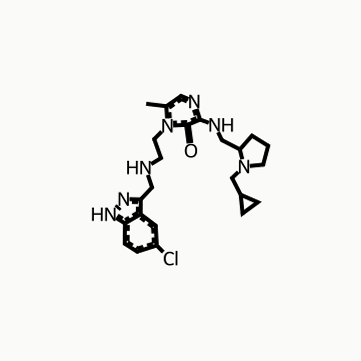 Cc1cnc(NCC2CCCN2CC2CC2)c(=O)n1CCNCc1n[nH]c2ccc(Cl)cc12